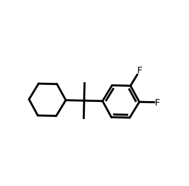 CC(C)(c1ccc(F)c(F)c1)C1CCCCC1